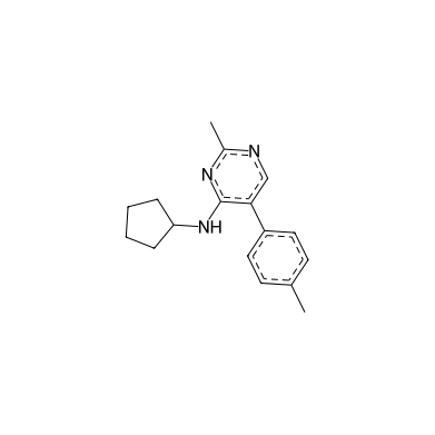 Cc1ccc(-c2cnc(C)nc2NC2CCCC2)cc1